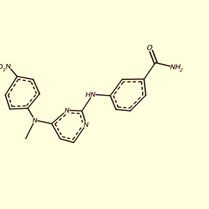 CN(c1ccc([N+](=O)[O-])cc1)c1ccnc(Nc2cccc(C(N)=O)c2)n1